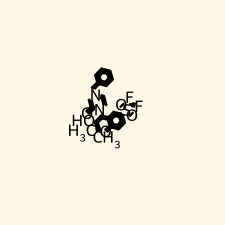 CC1(C)Oc2ccc(S(=O)(=O)C(F)F)cc2[C@@H](N2CCN(Cc3ccccc3)CC2=O)[C@@H]1O